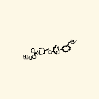 CC(C)(C)OC(=O)N1CCC(COc2cnc(-c3cccc(CBr)c3)nc2)CC1